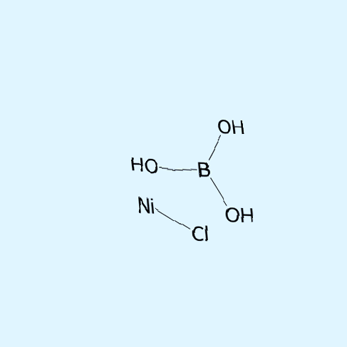 OB(O)O.[Cl][Ni]